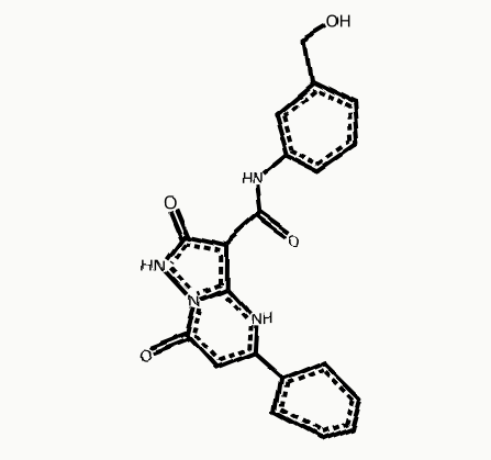 O=C(Nc1cccc(CO)c1)c1c(=O)[nH]n2c(=O)cc(-c3ccccc3)[nH]c12